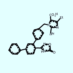 CCCc1nc(CC)c(C(=O)O)n1Cc1ccc(-c2cc(-c3ccccc3)ccc2-c2noc(=O)[nH]2)cc1